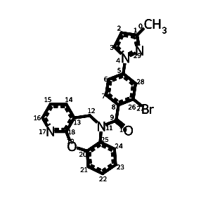 Cc1ccn(-c2ccc(C(=O)N3Cc4cccnc4Oc4ccccc43)c(Br)c2)n1